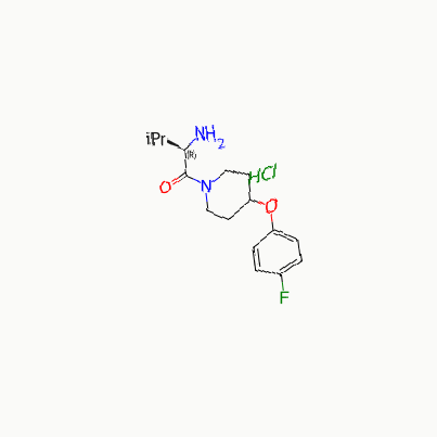 CC(C)[C@@H](N)C(=O)N1CCC(Oc2ccc(F)cc2)CC1.Cl